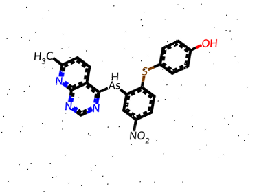 Cc1ccc2c([AsH]c3cc([N+](=O)[O-])ccc3Sc3ccc(O)cc3)ncnc2n1